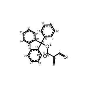 C=C(C=S)C(=O)OC(c1ccccc1)(c1ccccc1)c1ccccc1